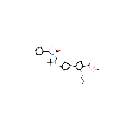 CCCNc1cc(-c2ccc(OC(CN(C[C@H](O)c3ccccc3)C(=O)O)C(C)(C)C)cc2)ccc1C(=O)NS(C)(=O)=O